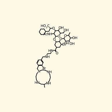 CCC1CC(C(=O)NCCNCc2ccc(CN3CCCNCC(C)NCCCNCC3)c(Br)c2)CC(OC2OC(CO)C(O)C(O[C@@H](CC3CCCCC3)C(=O)O)C2NC(C)=O)C1OC1OC(C)C(O)C(O)C1O